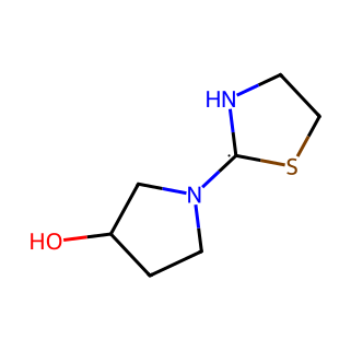 OC1CCN([C]2NCCS2)C1